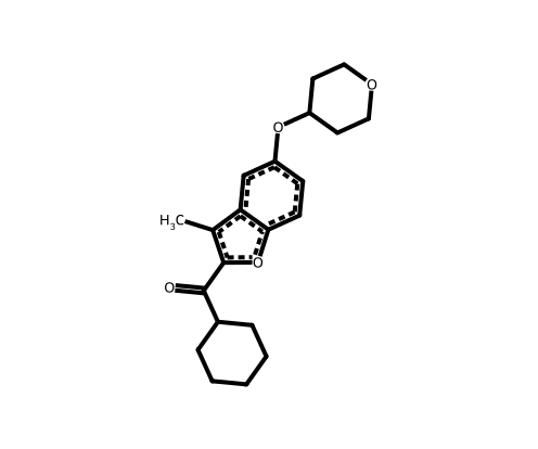 Cc1c(C(=O)C2CCCCC2)oc2ccc(OC3CCOCC3)cc12